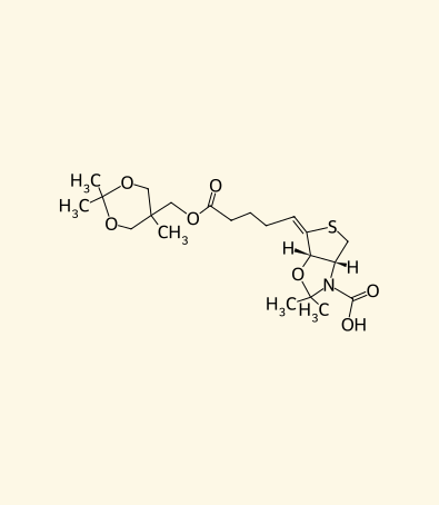 CC1(COC(=O)CCC/C=C2/SC[C@H]3[C@@H]2OC(C)(C)N3C(=O)O)COC(C)(C)OC1